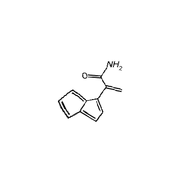 C=C(C(N)=O)C1=CC=C2C=CC=C21